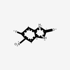 O=c1[nH]c2cc(F)c([N+](=O)[O-])cc2[nH]1